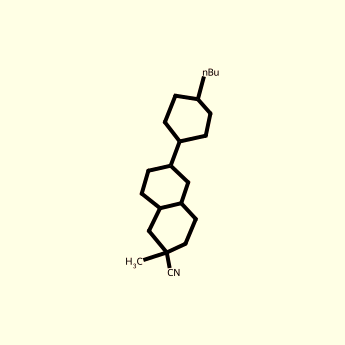 CCCCC1CCC(C2CCC3CC(C)(C#N)CCC3C2)CC1